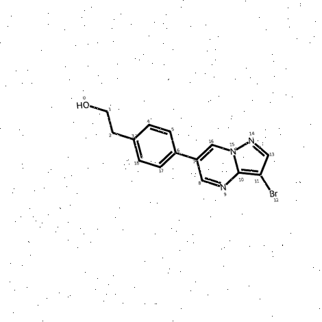 OCCc1ccc(-c2cnc3c(Br)cnn3c2)cc1